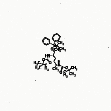 CC(CCC(CO[Si](c1ccccc1)(c1ccccc1)C(C)(C)C)NC(=O)OC(C)(C)C)NC(=O)OC(C)(C)C